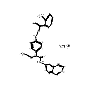 Cc1ccccc1C(=O)OCc1ccc(C(CN)C(=O)Nc2ccc3cnccc3c2)cc1.Cl.Cl